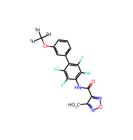 [2H]C([2H])([2H])Oc1cccc(-c2c(F)c(F)c(NC(=O)c3nonc3C(=O)O)c(F)c2F)c1